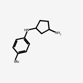 CC(C)(C)c1ccc(NC2CCC(N)C2)cc1